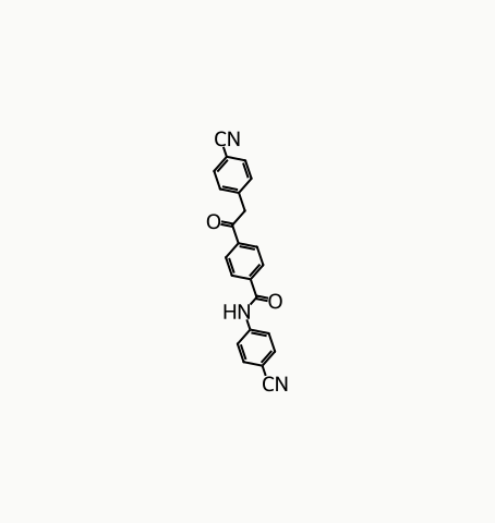 N#Cc1ccc(CC(=O)c2ccc(C(=O)Nc3ccc(C#N)cc3)cc2)cc1